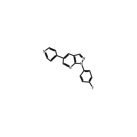 Fc1ccc(-n2ncc3cc(-c4ccncc4)cnc32)cc1